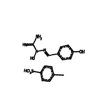 Cc1ccc(S(=O)(=O)O)cc1.N=C(N)N(O)N=Cc1ccc(O)cc1